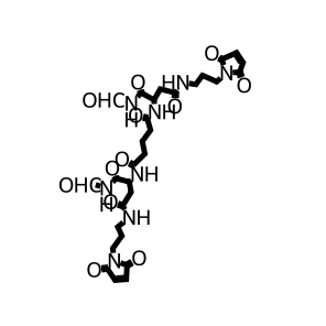 O=CNC(=O)C(CC(=O)NCCCN1C(=O)C=CC1=O)NC(=O)CCCC(=O)NC(CC(=O)NCCCN1C(=O)C=CC1=O)C(=O)NC=O